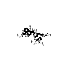 C#CNCCCc1cc(O[C@@H](C)[C@@H]2CCCN2C)nc(C(=N)C2=C(O)[C@@]3(CCC2)CCCc2sc(N)c(C#N)c23)n1